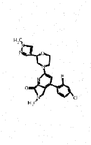 CN1Cc2c(-c3ccc(Cl)cc3F)cc(N3CCOC(c4cnn(C)c4)C3)nc2C1=O